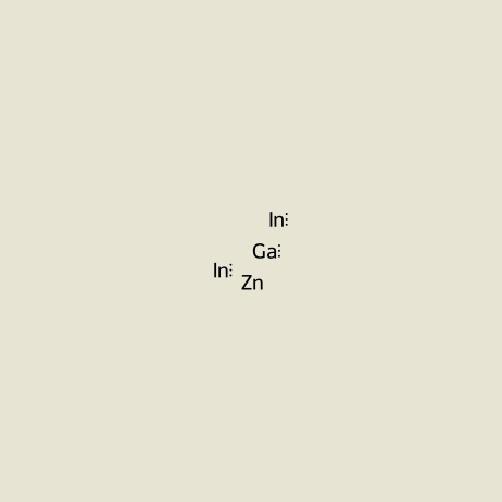 [Ga].[In].[In].[Zn]